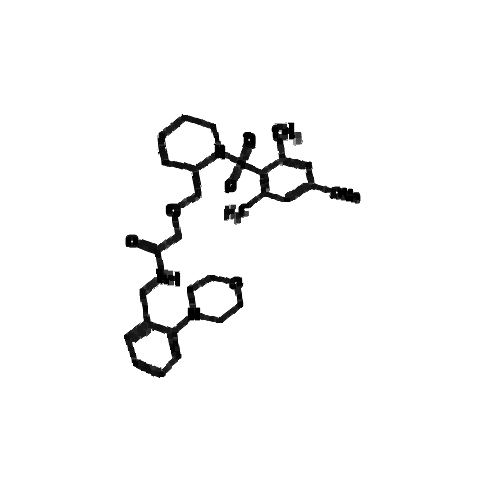 COc1cc(C)c(S(=O)(=O)N2CCCCC2COCC(=O)NCc2ccccc2N2CCOCC2)c(C)c1